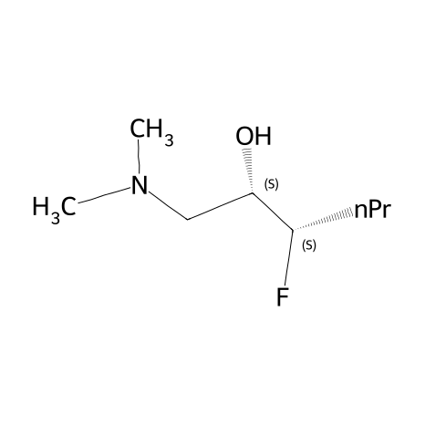 CCC[C@H](F)[C@@H](O)CN(C)C